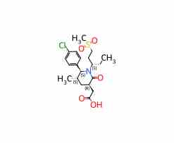 CC[C@@H](CCS(C)(=O)=O)N1C(=O)[C@@H](CC(=O)O)C[C@H](C)[C@H]1c1ccc(Cl)cc1